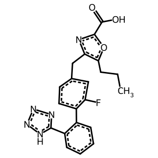 CCCc1oc(C(=O)O)nc1Cc1ccc(-c2ccccc2-c2nnn[nH]2)c(F)c1